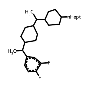 CCCCCCCC1CCC(C(C)C2CCC(C(C)c3ccc(F)c(F)c3)CC2)CC1